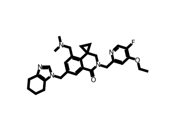 CCOc1cc(CN2CC3(CC3)c3c(CN(C)C)cc(Cn4cnc5c4CCCC5)cc3C2=O)ncc1F